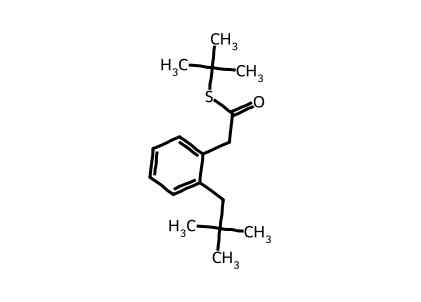 CC(C)(C)Cc1ccccc1CC(=O)SC(C)(C)C